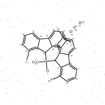 C[Si](Cl)(C1c2cc(F)ccc2-c2cccc(F)c21)C1c2cc(F)ccc2-c2cccc(F)c21.[Cl-].[Cl-].[Zr+2]